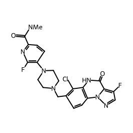 CNC(=O)c1ccc(N2CCN(Cc3ccc4c([nH]c(=O)c5c(F)cnn54)c3Cl)CC2)c(F)n1